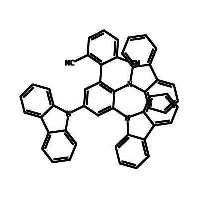 N#Cc1cccc(C#N)c1-c1cc(-n2c3ccccc3c3ccccc32)cc(-n2c3ccccc3c3ccccc32)c1-n1c2ccccc2c2ccccc21